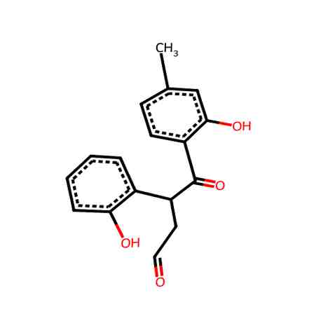 Cc1ccc(C(=O)C(CC=O)c2ccccc2O)c(O)c1